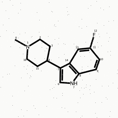 CN1CCC(c2c[nH]c3ccc(F)cc23)CC1